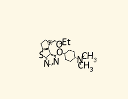 CCOC[C@@H]1CCc2sc3ncnc(OC4CCC(N(C)C)CC4)c3c21